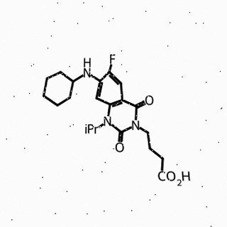 CC(C)n1c(=O)n(CCCC(=O)O)c(=O)c2cc(F)c(NC3CCCCC3)cc21